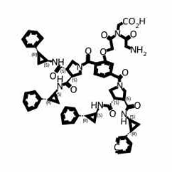 NCC(=O)N(CC(=O)O)C(=O)COc1cc(C(=O)N2C[C@@H](C(=O)N[C@H]3C[C@@H]3c3ccccc3)[C@H](C(=O)N[C@H]3C[C@@H]3c3ccccc3)C2)ccc1C(=O)N1C[C@@H](C(=O)N[C@H]2C[C@@H]2c2ccccc2)[C@H](C(=O)N[C@H]2C[C@@H]2c2ccccc2)C1